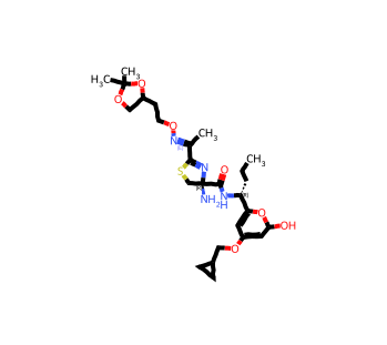 CCC[C@@H](NC(=O)[C@]1(N)CSC(/C(C)=N/OCCC2COC(C)(C)O2)=N1)C1=CC(OCC2CC2)=CC(O)O1